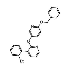 CCc1ccccc1-c1cccnc1Oc1ccc(OCc2ccccc2)nc1